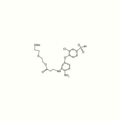 COCCOCCOC(=O)CCNc1cc(Oc2ccc(S(=O)(=O)C(C)C)cc2Cl)ccc1[N+](=O)[O-]